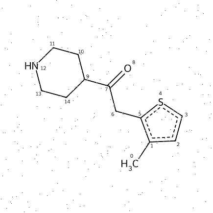 Cc1ccsc1CC(=O)C1[CH]CNCC1